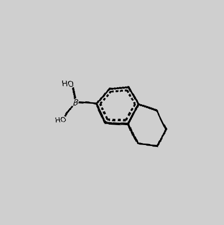 OB(O)c1ccc2c(c1)CCCC2